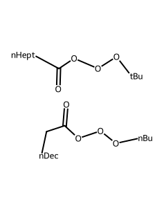 CCCCCCCC(=O)OOOC(C)(C)C.CCCCCCCCCCCC(=O)OOOCCCC